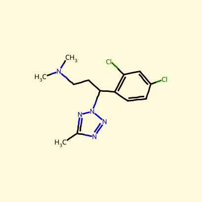 Cc1nnn(C(CCN(C)C)c2ccc(Cl)cc2Cl)n1